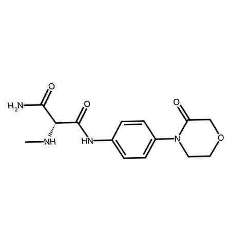 CN[C@H](C(N)=O)C(=O)Nc1ccc(N2CCOCC2=O)cc1